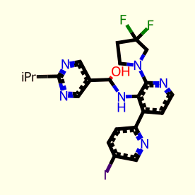 CC(C)c1ncc(C(O)Nc2c(-c3ccc(I)cn3)ccnc2N2CCC(F)(F)C2)cn1